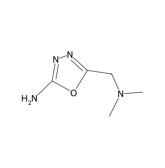 CN(C)Cc1nnc(N)o1